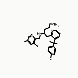 Cc1cnc(CNC(CCCN)Cc2ncccc2C(C)(C)c2ccc(Cl)cc2)c(C)c1